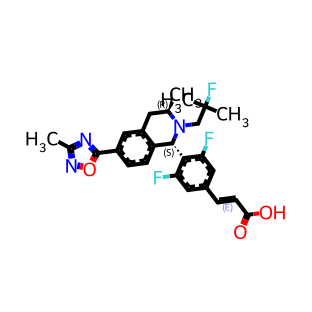 Cc1noc(-c2ccc3c(c2)C[C@@H](C)N(CC(C)(C)F)[C@@H]3c2c(F)cc(/C=C/C(=O)O)cc2F)n1